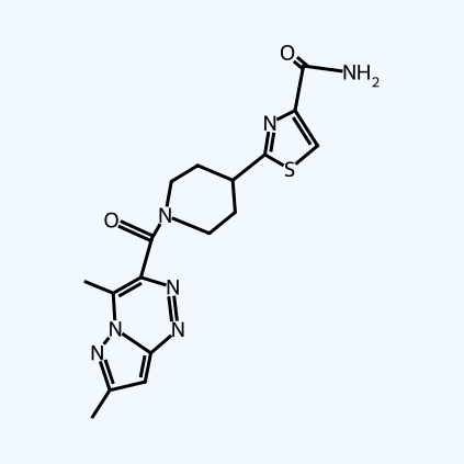 Cc1cc2nnc(C(=O)N3CCC(c4nc(C(N)=O)cs4)CC3)c(C)n2n1